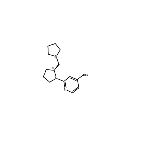 CC(C)(C)c1ccnc(N2CCC[C@H]2CN2CCCC2)c1